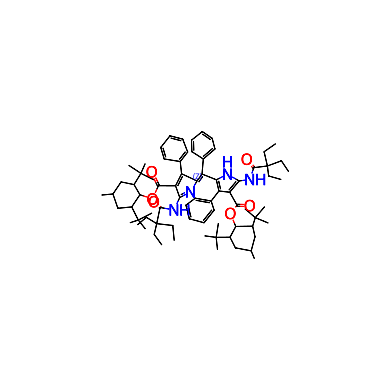 CCC(CC)(CC)C(=O)NC1=N/C(=C(/c2ccccc2)c2[nH]c(NC(=O)C(CC)(CC)CC)c(C(=O)OC3C(C(C)(C)C)CC(C)CC3C(C)(C)C)c2-c2ccccc2)C(c2ccccc2)=C1C(=O)OC1C(C(C)(C)C)CC(C)CC1C(C)(C)C